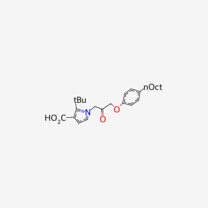 CCCCCCCCc1ccc(OCC(=O)Cn2ccc(C(=O)O)c2C(C)(C)C)cc1